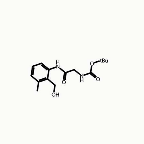 Cc1cccc(NC(=O)CNC(=O)OC(C)(C)C)c1CO